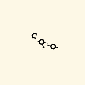 Cc1ccc(CNc2ccc(Oc3ncccc3C(F)(F)F)cc2C(N)=O)cc1